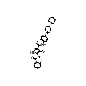 O=C(Nc1[nH]nc(C(=O)Nc2ccc(N3CCC(N4CCCCC4)CC3)cc2)c1Br)c1ccccc1F